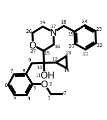 CCOc1ccccc1CC(O)(C1CC1)C1CN(Cc2ccccc2)CCO1